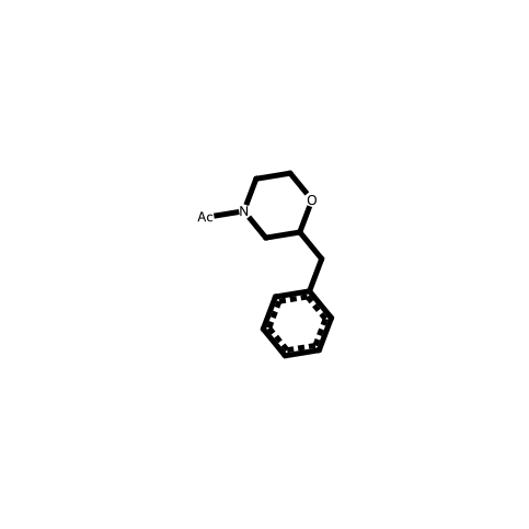 CC(=O)N1CCOC(Cc2ccccc2)C1